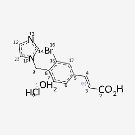 Cl.O.O=C(O)/C=C/c1ccc(Cn2ccnc2)c(Br)c1